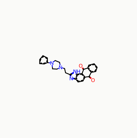 O=C1c2ccccc2C(=O)c2c1ccc1nc(CCN3CCN(c4ccccc4)CC3)[nH]c21